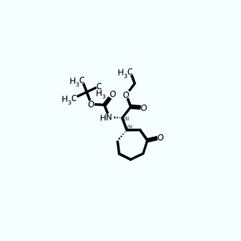 CCOC(=O)[C@@H](NC(=O)OC(C)(C)C)[C@H]1CCCCC(=O)C1